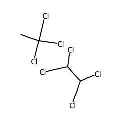 CC(Cl)(Cl)Cl.ClC(Cl)C(Cl)Cl